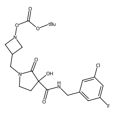 CC(C)(C)OC(=O)ON1CC(CN2CCC(O)(C(=O)NCc3cc(F)cc(Cl)c3)C2=O)C1